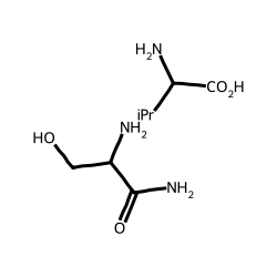 CC(C)C(N)C(=O)O.NC(=O)C(N)CO